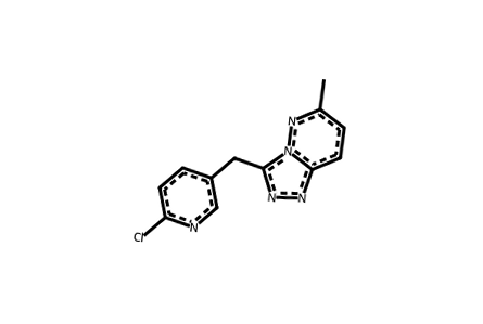 Cc1ccc2nnc(Cc3ccc(Cl)nc3)n2n1